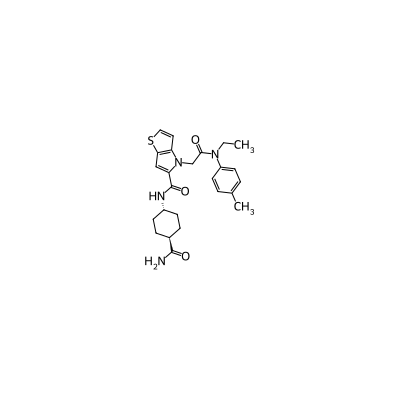 CCN(C(=O)Cn1c(C(=O)N[C@H]2CC[C@H](C(N)=O)CC2)cc2sccc21)c1ccc(C)cc1